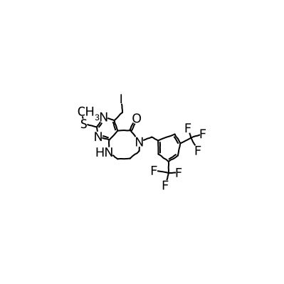 CSc1nc(CI)c2c(n1)NCCCN(Cc1cc(C(F)(F)F)cc(C(F)(F)F)c1)C2=O